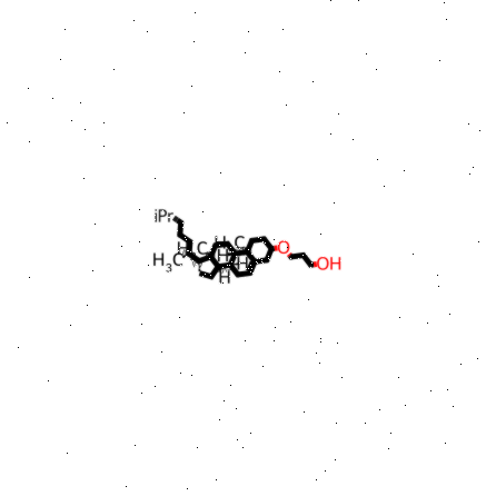 CC(C)CCC[C@@H](C)[C@H]1CC[C@H]2[C@@H]3CC=C4CC(OCCCO)CC[C@]4(C)[C@H]3CC[C@]12C